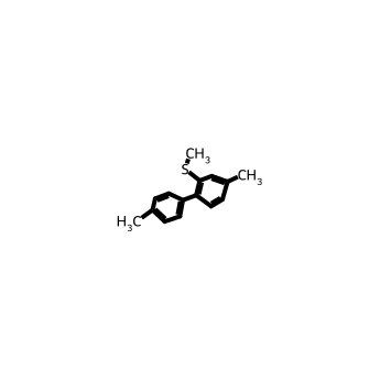 CSc1cc(C)ccc1-c1ccc(C)cc1